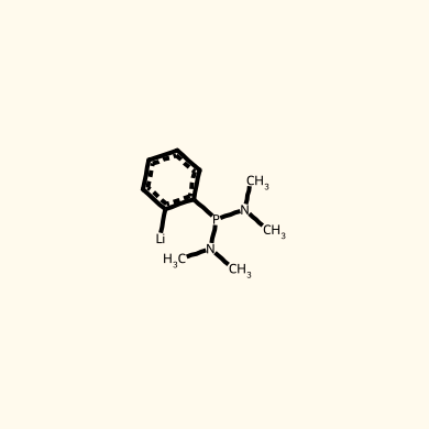 [Li][c]1ccccc1P(N(C)C)N(C)C